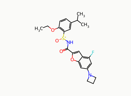 CCOc1ccc(C(C)C)cc1[S+]([O-])NC(=O)c1cc2c(F)cc(N3CCC3)cc2o1